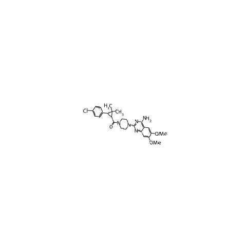 COc1cc2nc(N3CCN(C(=O)C4C(c5ccc(Cl)cc5)C4(C)C)CC3)nc(N)c2cc1OC